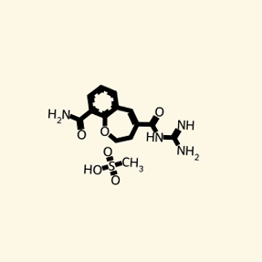 CS(=O)(=O)O.N=C(N)NC(=O)C1=Cc2cccc(C(N)=O)c2OCC1